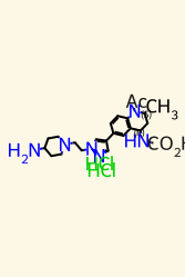 CC(=O)N1c2ccc(-c3cnn(CCN4CCC(N)CC4)c3)cc2[C@H](NC(=O)O)C[C@@H]1C.Cl.Cl